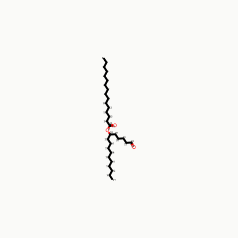 CCCCCCCCCCCCCCCC(=O)OC(CCCCC=O)CCCCCCCCCC